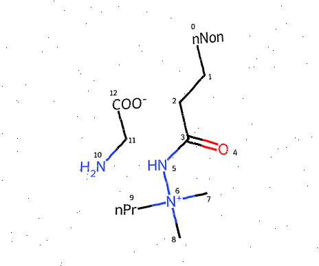 CCCCCCCCCCCC(=O)N[N+](C)(C)CCC.NCC(=O)[O-]